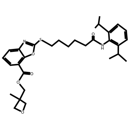 CC(C)c1cccc(C(C)C)c1NC(=O)CCCCCSc1nc2cccc(C(=O)OCC3(C)COC3)c2o1